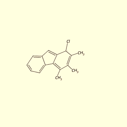 CC1=C(C)C(C)=C2C(=Cc3ccccc32)[C]1Cl